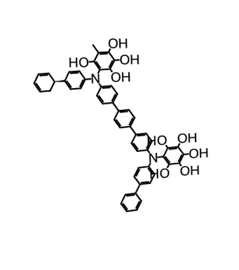 Cc1c(O)c(O)c(O)c(N(c2ccc(-c3ccc(-c4ccc(N(c5ccc(-c6ccccc6)cc5)c5c(O)c(O)c(O)c(O)c5O)cc4)cc3)cc2)c2ccc([C@@H]3C=CC=CC3)cc2)c1O